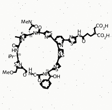 CNC(=O)C[C@@H]1NC(=O)c2csc(n2)-c2ccc(-c3nc(NC(=O)CC[C@H](CC(=O)O)C(=O)O)cs3)nc2-c2csc(n2)-c2csc(n2)[C@H]([C@@H](O)c2ccccc2)NC(=O)CNC(=O)c2nc(sc2COC)[C@H](C(C)C)NC(=O)c2nc1sc2C